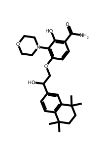 CC1(C)CCC(C)(C)c2cc(C(O)COc3ccc(C(N)=O)c(O)c3N3CCOCC3)ccc21